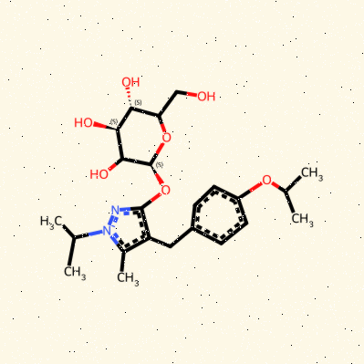 Cc1c(Cc2ccc(OC(C)C)cc2)c(O[C@@H]2OC(CO)[C@@H](O)[C@H](O)C2O)nn1C(C)C